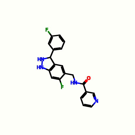 O=C(NCc1cc2c(cc1F)NNC2c1cccc(F)c1)c1cccnc1